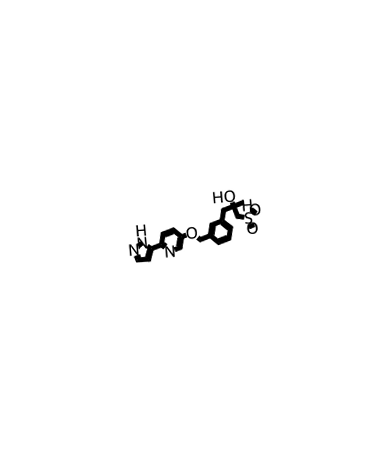 CC(O)(Cc1cccc(COc2ccc(-c3ccn[nH]3)nc2)c1)C[SH](=O)=O